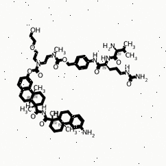 CC(C)[C@H](N)C(=O)N[C@@H](CCCNC(N)=O)C(=O)Nc1ccc(COC(=O)N(C)CCN(CCOCCO)C(=O)Oc2ccc3c(c2)[C@@]2(C)CCC[C@](C)(C(=O)NC(=O)[C@@]4(C)CCC[C@]5(C)c6cc(N)ccc6CC[C@@H]45)[C@@H]2CC3)cc1